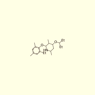 CCc1cc(C)cc(C)c1OC1NC(C)CC(OC(CC)CC)C1C